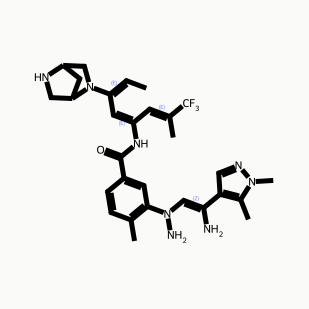 C\C=C(/C=C(\C=C(/C)C(F)(F)F)NC(=O)c1ccc(C)c(N(N)/C=C(\N)c2cnn(C)c2C)c1)N1CC2CC1CN2